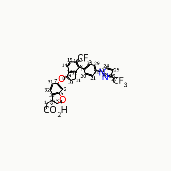 O=C(O)C[C@@H]1COc2cc(O[C@@H]3CCc4c3ccc(C(F)(F)F)c4-c3ccc(-n4ccc(C(F)(F)F)n4)cc3)ccc21